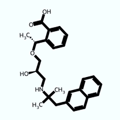 C[C@@H](OC[C@H](O)CNC(C)(C)Cc1ccc2ccccc2c1)c1ccccc1C(=O)O